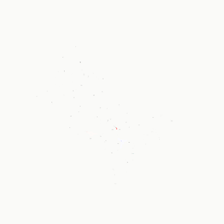 Cc1cc(C)c(B(c2c(C)cc(C)cc2C)c2cc3c4cccc5c4c(cc3c3ccccc23)-c2ccc(N(c3c(C)cc(C)cc3C)c3c(F)cc(-c4ccccc4)cc3-c3ccccc3)cc2O5)c(C)c1